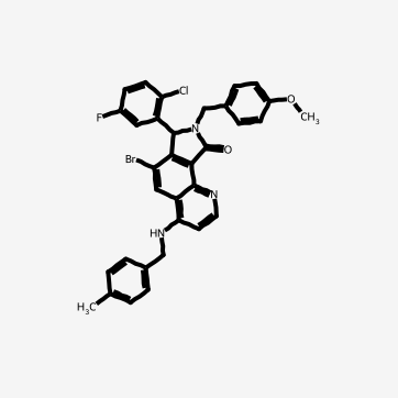 COc1ccc(CN2C(=O)c3c(c(Br)cc4c(NCc5ccc(C)cc5)ccnc34)C2c2cc(F)ccc2Cl)cc1